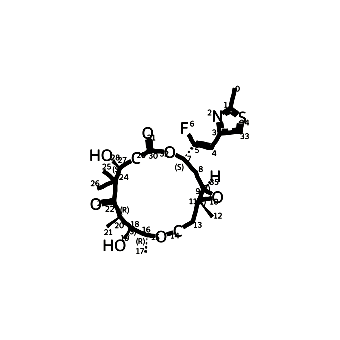 Cc1nc(C=C(F)[C@@H]2C[C@H]3O[C@]3(C)CCO[C@H](C)[C@@H](O)[C@@H](C)C(=O)C(C)(C)[C@@H](O)CC(=O)O2)cs1